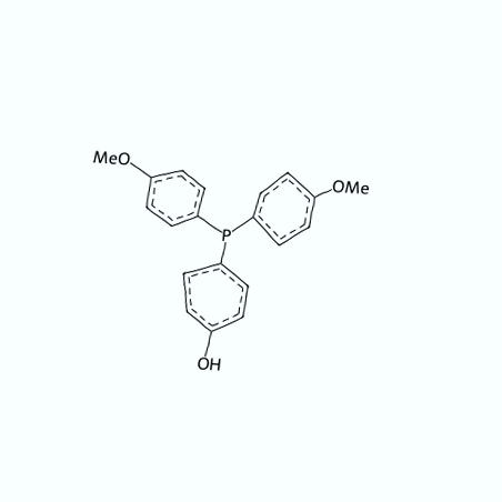 COc1ccc(P(c2ccc(O)cc2)c2ccc(OC)cc2)cc1